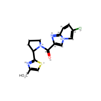 O=C(O)c1csc(C2CCCN2C(=O)c2cn3cc(Cl)ccc3n2)n1